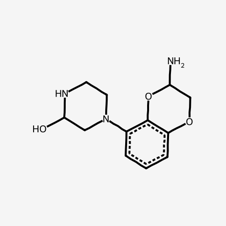 NC1COc2cccc(N3CCNC(O)C3)c2O1